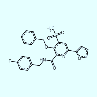 CS(=O)(=O)c1cc(-c2ccco2)nc(C(=O)NCc2ccc(F)cc2)c1OCc1ccccc1